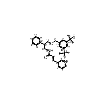 O=C(C=Cc1cccnc1)NCC(COCc1cc(C(F)(F)F)cc(C(F)(F)F)c1)c1ccccc1